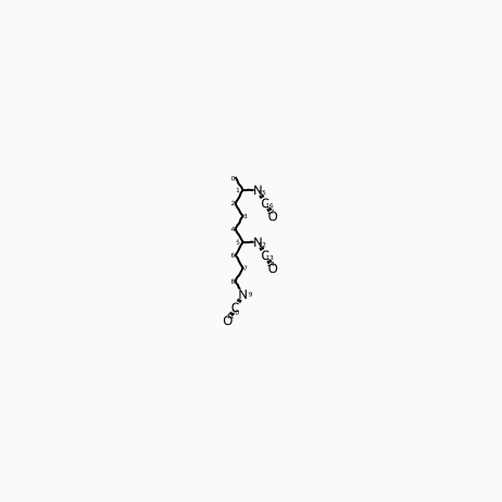 CC(CCCC(CCCN=C=O)N=C=O)N=C=O